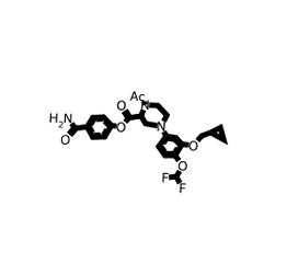 CC(=O)N1CCN(c2ccc(OC(F)F)c(OCC3CC3)c2)CC1C(=O)Oc1ccc(C(N)=O)cc1